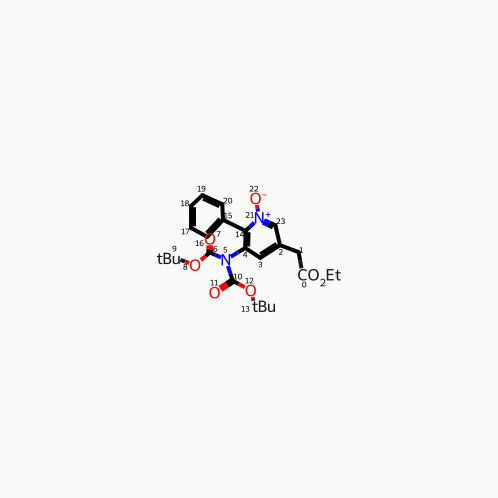 CCOC(=O)Cc1cc(N(C(=O)OC(C)(C)C)C(=O)OC(C)(C)C)c(-c2ccccc2)[n+]([O-])c1